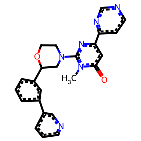 Cn1c(N2CCOC(c3cccc(-c4cccnc4)c3)C2)nc(-c2ccncn2)cc1=O